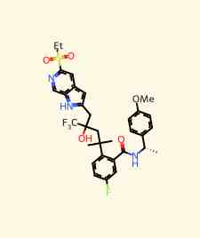 CCS(=O)(=O)c1cc2cc(CC(O)(CC(C)(C)c3ccc(F)cc3C(=O)N[C@@H](C)c3ccc(OC)cc3)C(F)(F)F)[nH]c2cn1